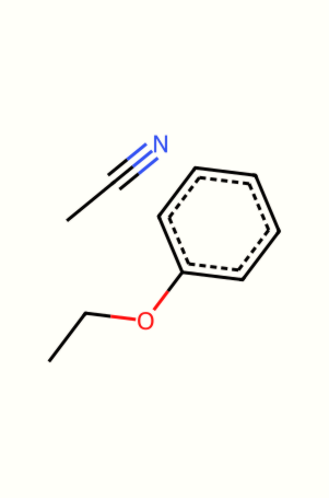 CC#N.CCOc1ccccc1